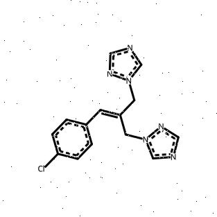 Clc1ccc(C=C(Cn2cncn2)Cn2cncn2)cc1